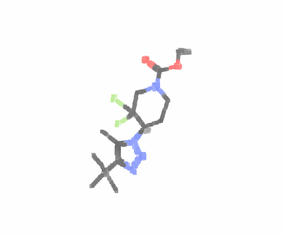 Cc1c([Si](C)(C)C)nnn1[C@@H]1CCN(C(=O)OC(C)(C)C)CC1(F)F